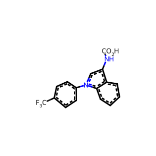 O=C(O)Nc1cn(-c2ccc(C(F)(F)F)cc2)c2ccccc12